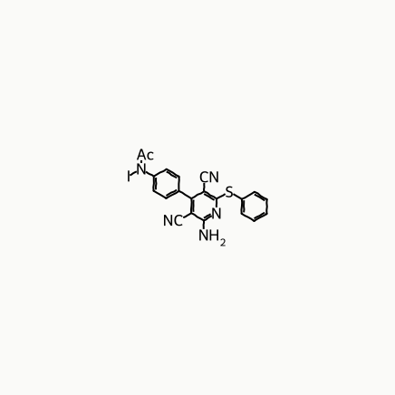 CC(=O)N(I)c1ccc(-c2c(C#N)c(N)nc(Sc3ccccc3)c2C#N)cc1